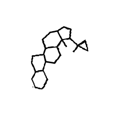 CC1(C2CCC3CCC4C5CCC6C[CH]CCC6C5CCC4C32C)CC1